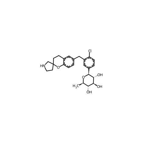 C[C@H]1O[C@@H](c2ccc(Cl)c(Cc3ccc4c(c3)CCC3(CCNC3)O4)c2)[C@H](O)[C@@H](O)[C@@H]1O